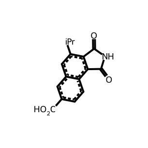 CC(C)c1cc2cc(C(=O)O)ccc2c2c1C(=O)NC2=O